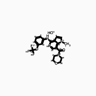 Cl.Cn1ccc2c(Nc3cccc(OC(F)(F)F)c3)ncc(C(=O)N3CCOCC3)c21